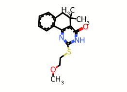 COCCSc1nc2c(c(=O)[nH]1)C(C)(C)Cc1ccccc1-2